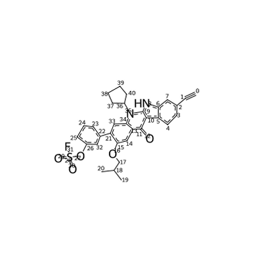 C#Cc1ccc2c(c1)[nH]c1c2c(=O)c2cc(OCC(C)C)c(-c3cccc(OS(=O)(=O)F)c3)cc2n1C1CCCC1